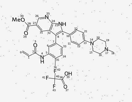 C=CC(=O)Nc1cc(-c2c(-c3ccc(N4CCN(C)CC4)cc3)[nH]c3ncc(C(=O)OC)cc23)ccc1C.O=C(O)C(F)(F)F